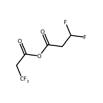 O=C(CC(F)F)OC(=O)CC(F)(F)F